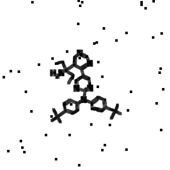 CCC(N)(CC)c1cncnc1-c1cnc(N(c2ccc(C(C)(C)C)cc2)c2ccc(C(C)(C)C)cc2)nc1